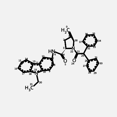 C=C1C[C@@H](C(=O)Nc2ccc3c(c2)c2ccccc2n3CC)N(C(=O)C(c2ccccc2)c2ccccc2)C1